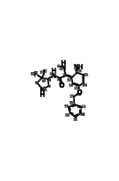 CN/C(C(=O)NC1CNCC1(F)F)=C1/C=C(OCc2ccccc2)C=CC1=N